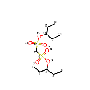 CCC(CC)OS(=O)(=O)CS(=O)(=O)OC(CC)CC